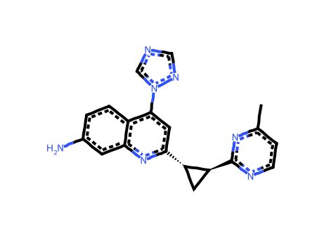 Cc1ccnc([C@H]2C[C@@H]2c2cc(-n3cncn3)c3ccc(N)cc3n2)n1